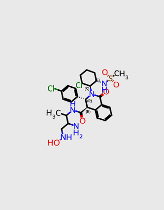 CC(NC(=O)[C@@H]1c2ccccc2C(=O)N([C@H]2CCCC[C@@H]2NS(C)(=O)=O)[C@H]1c1ccc(Cl)cc1Cl)C(N)CNO